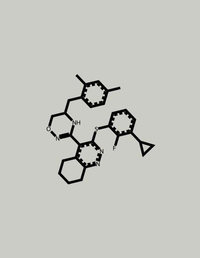 Cc1ccc(CC2CON=C(c3c(Sc4cccc(C5CC5)c4F)nnc4c3CCCC4)N2)c(C)c1